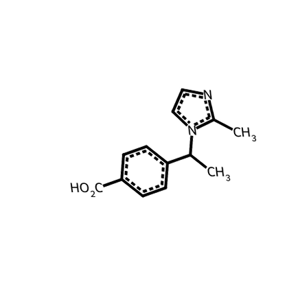 Cc1nccn1C(C)c1ccc(C(=O)O)cc1